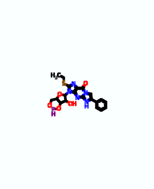 CCSc1nc2c(=O)n3cc(-c4ccccc4)[nH]c3nc2n1C1OC2COPOC2C1O